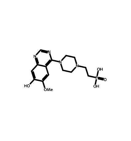 COc1cc2c(N3CCN(CCP(=O)(O)O)CC3)ncnc2cc1O